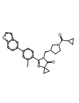 O=C(C1CC1)N1CC[C@@H](CN2C(=O)C3(CC3)N=C2c2ccc(-c3ccc4sccc4c3)cc2F)C1